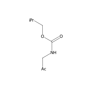 CC(=O)CNC(=O)OCC(C)C